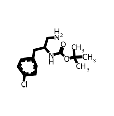 CC(C)(C)OC(=O)NC(CN)Cc1ccc(Cl)cc1